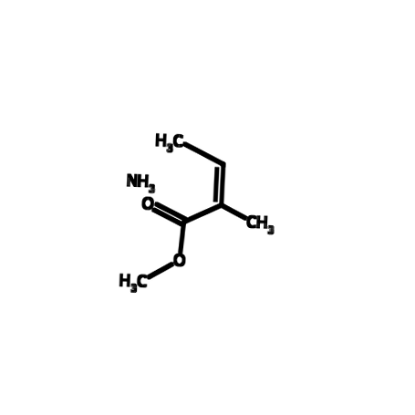 CC=C(C)C(=O)OC.N